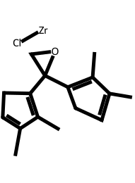 CC1=CCC(C2(C3=C(C)C(C)=CC3)CO2)=C1C.[Cl][Zr]